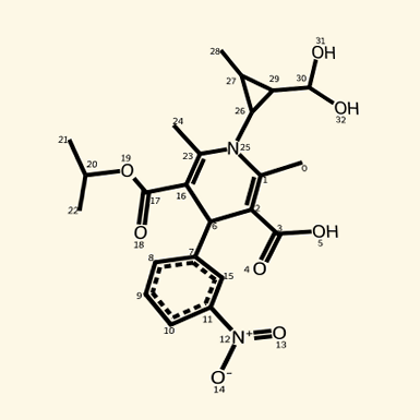 CC1=C(C(=O)O)C(c2cccc([N+](=O)[O-])c2)C(C(=O)OC(C)C)=C(C)N1C1C(C)C1C(O)O